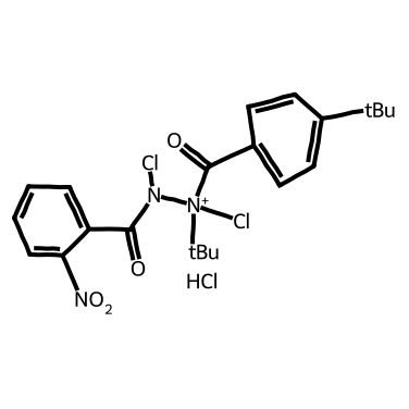 CC(C)(C)c1ccc(C(=O)[N+](Cl)(N(Cl)C(=O)c2ccccc2[N+](=O)[O-])C(C)(C)C)cc1.Cl